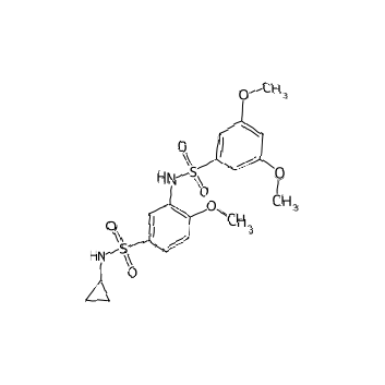 COc1cc(OC)cc(S(=O)(=O)Nc2cc(S(=O)(=O)NC3CC3)ccc2OC)c1